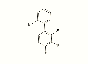 Fc1ccc(-c2ccccc2Br)c(F)c1F